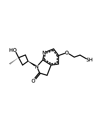 C[C@]1(O)C[C@@H](N2C(=O)Cc3cc(OCCS)cnc32)C1